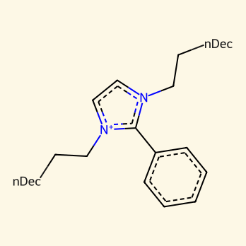 CCCCCCCCCCCCn1cc[n+](CCCCCCCCCCCC)c1-c1ccccc1